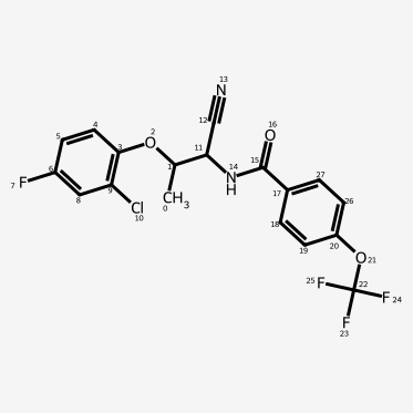 CC(Oc1ccc(F)cc1Cl)C(C#N)NC(=O)c1ccc(OC(F)(F)F)cc1